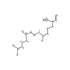 C=CC(O)CCCC(C)CCCC(C)CCCC(C)C